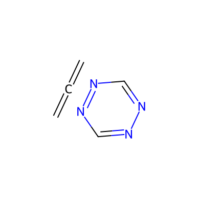 C=C=C.c1nncnn1